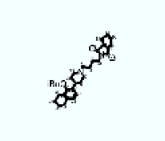 CC(C)COc1c(C2CCN(CCCCN3C(=O)c4ccccc4C3=O)CC2)ccc2c1CCCC2